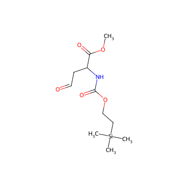 COC(=O)C(CC=O)NC(=O)OCC[Si](C)(C)C